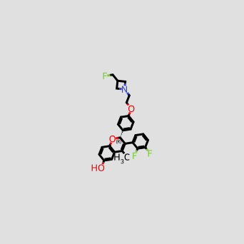 CC1=C(c2cccc(F)c2F)[C@@H](c2ccc(OCCN3CC(CF)C3)cc2)Oc2ccc(O)cc21